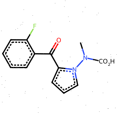 CN(C(=O)O)n1cccc1C(=O)c1ccccc1F